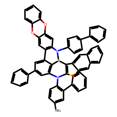 CCCCc1ccc(N2c3cc(-c4ccccc4)cc4c3B(c3c2sc2cc5ccccc5cc32)N(c2ccc(-c3ccccc3)cc2)c2cc3c(cc2-4)Oc2ccccc2O3)c(-c2ccccc2)c1